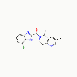 Cc1cnc2c(c1)C(C)N(C(=O)c1nc3cccc(Cl)c3[nH]1)CC2